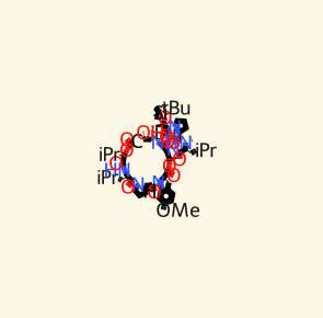 CC[C@H](C)[C@H]1NC(=O)[C@@H](NC(=O)[C@@H](CC(C)C)N(C)C(=O)[C@@H]2CCCN2C(=O)[C@@H](C)O[Si](C)(C)C(C)(C)C)[C@@H](C)OC(=O)[C@H](Cc2ccc(OC)cc2)N(C)C(=O)[C@@H]2CCCN2C(=O)[C@H](CC(C)C)NC(=O)[C@H](C(C)C)OC(=O)C[C@@H]1O